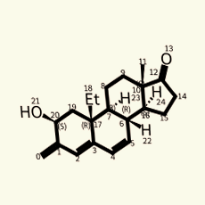 C=C1C=C2C=C[C@@H]3[C@H](CC[C@]4(C)C(=O)CC[C@@H]34)[C@@]2(CC)C[C@@H]1O